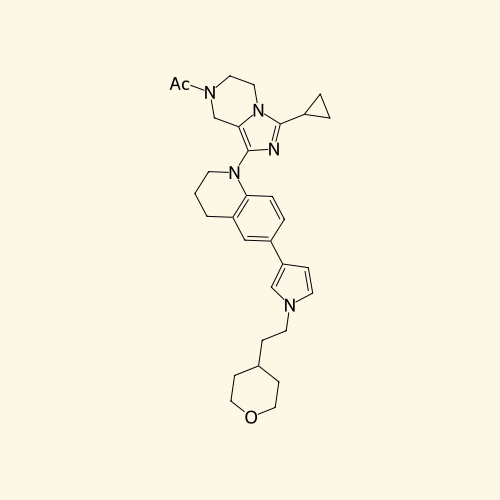 CC(=O)N1CCn2c(C3CC3)nc(N3CCCc4cc(-c5ccn(CCC6CCOCC6)c5)ccc43)c2C1